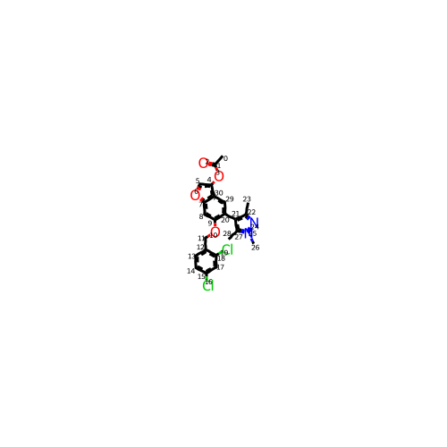 CC(=O)Oc1coc2cc(OCc3ccc(Cl)cc3Cl)c(-c3c(C)nn(C)c3C)cc12